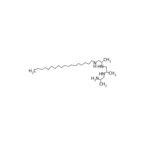 CCCCCCCCCCCCCCCCCCNCC(C)NCC(C)NCC(C)N